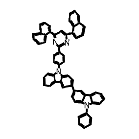 c1ccc(-n2c3ccccc3c3cc(-c4ccc5c(c4)c4ccccc4n5-c4ccc(-c5nc(-c6cccc7ccccc67)cc(-c6cccc7ccccc67)n5)cc4)ccc32)cc1